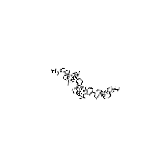 CCOC(=O)c1cnn(-c2cccc(-c3cccc4c3C(Nc3ccc(C5CCN(C(=O)O)CC5)cc3C)CC4)c2)c1C(F)(F)F